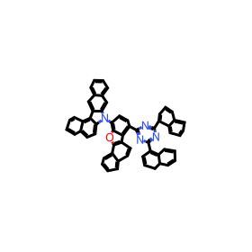 C1=CC2=C(c3nc(-c4cccc5ccccc45)nc(-c4ccc(-n5c6cc7ccccc7cc6c6c7ccccc7ccc65)c5oc6c7ccccc7ccc6c45)n3)C=CCC2C=C1